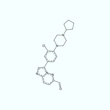 O=Cc1ccc2ncc(-c3ccc(N4CCN(C5CCCC5)CC4)c(Cl)c3)n2n1